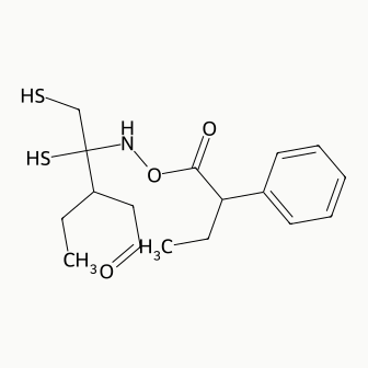 CCC(C(=O)ONC(S)(CS)C(CC)CC=O)c1ccccc1